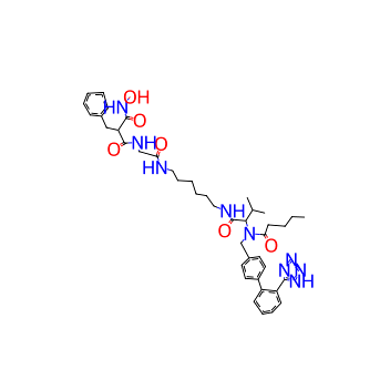 CCCCC(=O)N(Cc1ccc(-c2ccccc2-c2nnn[nH]2)cc1)C(C(=O)NCCCCCCNC(=O)CNC(=O)C(Cc1ccccc1)C(=O)NO)C(C)C